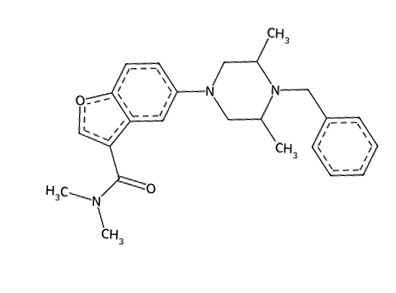 CC1CN(c2ccc3occ(C(=O)N(C)C)c3c2)CC(C)N1Cc1ccccc1